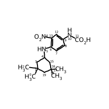 CC1(C)CC(Nc2ccc(NC(=O)O)cc2[N+](=O)[O-])CC(C)(C)C1